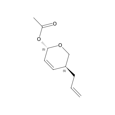 C=CC[C@H]1C=C[C@H](OC(C)=O)OC1